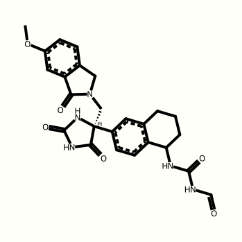 COc1ccc2c(c1)C(=O)N(C[C@@]1(c3ccc4c(c3)CCCC4NC(=O)NC=O)NC(=O)NC1=O)C2